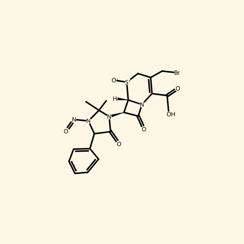 CC1(C)N(N=O)C(c2ccccc2)C(=O)N1[C@@H]1C(=O)N2C(C(=O)O)=C(CBr)C[S+]([O-])[C@@H]12